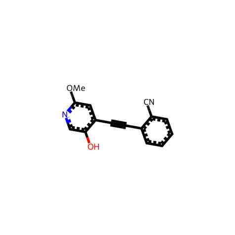 COc1cc(C#Cc2ccccc2C#N)c(O)cn1